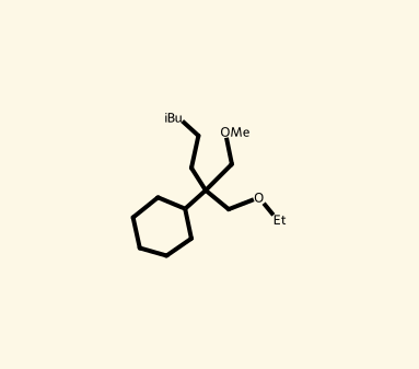 CCOCC(CCC(C)CC)(COC)C1CCCCC1